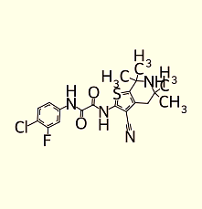 CC1(C)Cc2c(sc(NC(=O)C(=O)Nc3ccc(Cl)c(F)c3)c2C#N)C(C)(C)N1